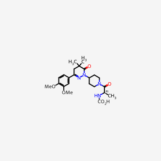 COc1ccc(C2=NN(C3CCN(C(=O)[C@@H](C)NC(=O)O)CC3)C(=O)C(C)(C)C2)cc1OC